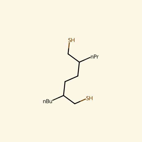 CCCCC(CS)CCC(CS)CCC